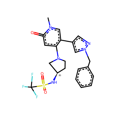 Cn1cc(-c2cnn(Cc3ccccc3)c2)c(N2CC[C@@H](NS(=O)(=O)C(F)(F)F)C2)cc1=O